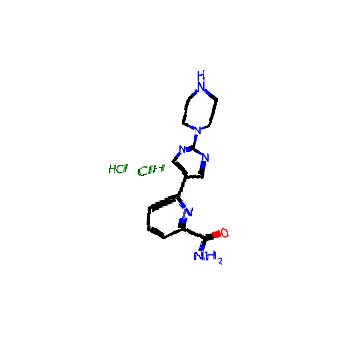 Cl.Cl.NC(=O)c1cccc(-c2cnc(N3CCNCC3)nc2)n1